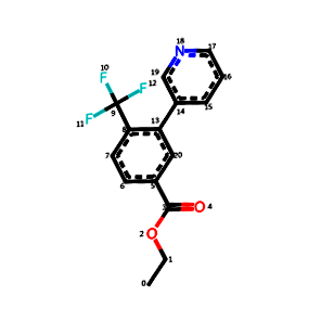 CCOC(=O)c1ccc(C(F)(F)F)c(-c2cccnc2)c1